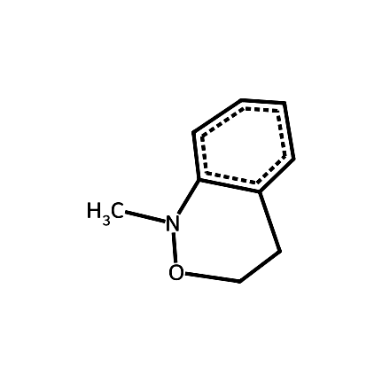 CN1OCCc2ccccc21